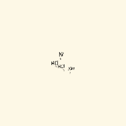 Cl.Cl.[Mo].[Ni]